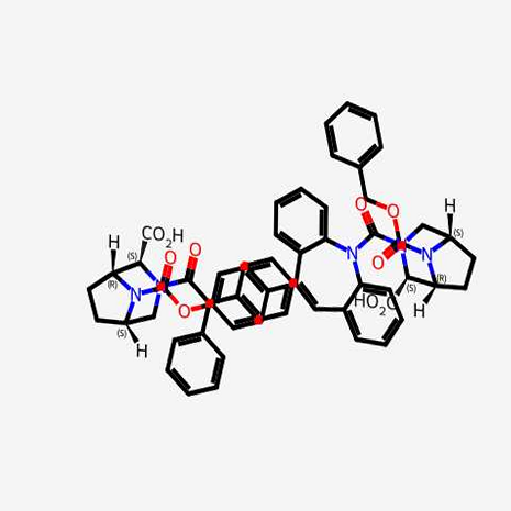 O=C(O)[C@@H]1[C@H]2CC[C@@H](CN1C(=O)C(c1ccccc1)c1ccccc1)N2C(=O)Oc1ccc(C2=Cc3ccccc3N(C(=O)N3C[C@@H]4CC[C@H]([C@H]3C(=O)O)N4C(=O)OCc3ccccc3)c3ccccc32)cc1